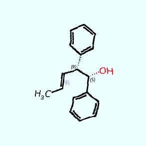 C/C=C/[C@H](c1ccccc1)[C@H](O)c1ccccc1